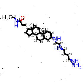 CCNC(=O)CC[C@H]1CCC2C3CCC4CC(NCCNCCCCNN)CCC4(C)C3CCC21C